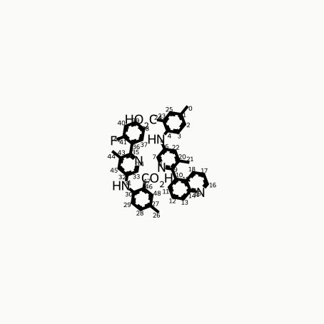 Cc1ccc(Nc2cnc(-c3cccc4ncccc34)c(C)c2)c(C(=O)O)c1.Cc1ccc(Nc2cnc(-c3ccccc3F)c(C)c2)c(C(=O)O)c1